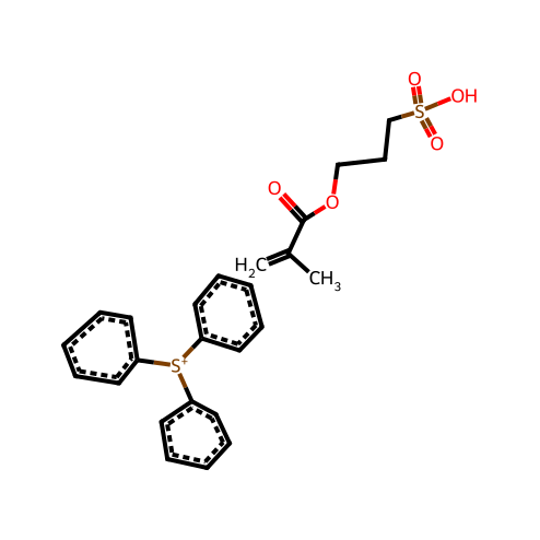 C=C(C)C(=O)OCCCS(=O)(=O)O.c1ccc([S+](c2ccccc2)c2ccccc2)cc1